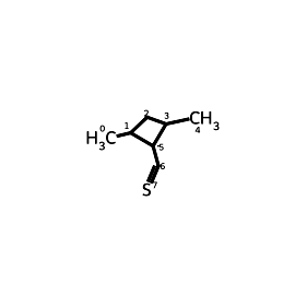 CC1CC(C)[C]1C=S